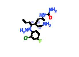 C=C/C=C(C(/C=C\N)=C/C(=C)NC(N)=O)\N(N)c1ccc(F)cc1Cl